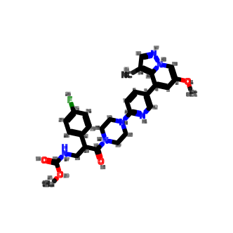 CCOc1cc(-c2ccc(N3CCN(C(=O)C(CNC(=O)OC(C)(C)C)c4ccc(F)cc4)CC3)nc2)c2c(C#N)cnn2c1